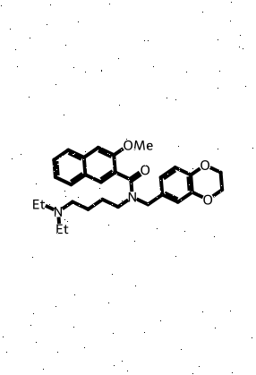 CCN(CC)CCCCN(Cc1ccc2c(c1)OCCO2)C(=O)c1cc2ccccc2cc1OC